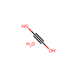 O.OC#CO